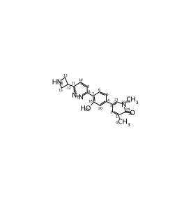 Cc1cc(-c2ccc(-c3ccc(C4CNC4)nn3)c(O)c2)cn(C)c1=O